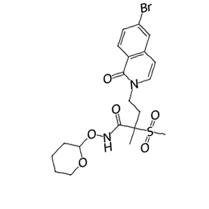 CC(CCn1ccc2cc(Br)ccc2c1=O)(C(=O)NOC1CCCCO1)S(C)(=O)=O